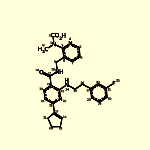 CN(C(=O)O)c1ncccc1CNC(=O)c1ccc(C2=CCCC2)nc1NCCc1cccc(F)c1